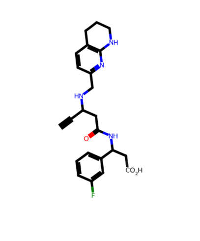 C#CC(CC(=O)NC(CC(=O)O)c1cccc(F)c1)NCc1ccc2c(n1)NCCC2